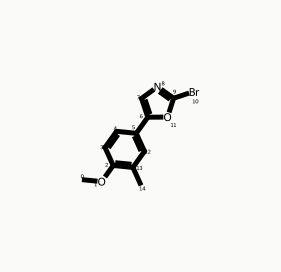 COc1ccc(-c2cnc(Br)o2)cc1C